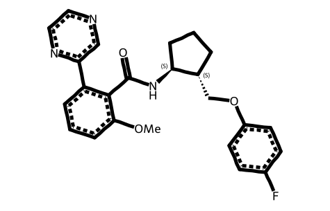 COc1cccc(-c2cnccn2)c1C(=O)N[C@H]1CCC[C@@H]1COc1ccc(F)cc1